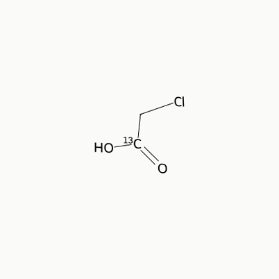 O=[13C](O)CCl